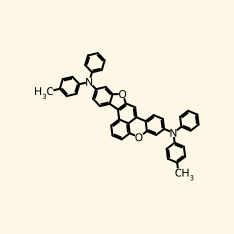 Cc1ccc(N(c2ccccc2)c2ccc3c(c2)Oc2cccc4c2c-3cc2oc3cc(N(c5ccccc5)c5ccc(C)cc5)ccc3c24)cc1